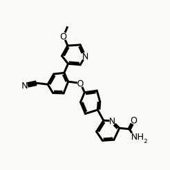 COc1cncc(-c2cc(C#N)ccc2Oc2ccc(-c3cccc(C(N)=O)n3)cc2)c1